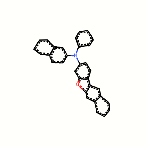 c1ccc(N(c2ccc3ccccc3c2)c2ccc3c(c2)oc2cc4ccccc4cc23)cc1